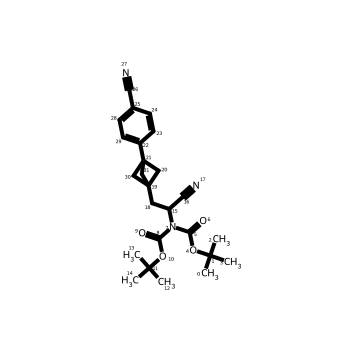 CC(C)(C)OC(=O)N(C(=O)OC(C)(C)C)C(C#N)CC12CC(c3ccc(C#N)cc3)(C1)C2